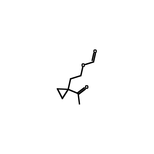 CC(=O)C1(CCOC=O)CC1